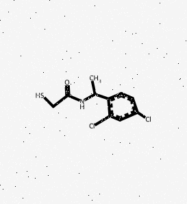 CC(NC(=O)CS)c1ccc(Cl)cc1Cl